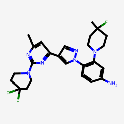 Cc1cc(-c2cnn(-c3ccc(N)cc3N3CCC(C)(F)CC3)c2)nc(N2CCC(F)(F)CC2)n1